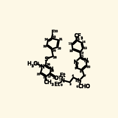 CCN(CC)CCN(C=O)Cc1cnc(-c2ccc(C(F)(F)F)cc2)nc1.Cc1cn(C)c(SCc2ccc(F)cc2)nc1=O